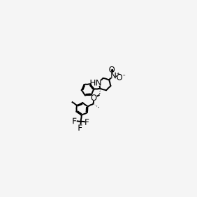 Cc1cc([C@@H](C)OC[C@@]2(c3ccccc3)CCC([N+](=O)[O-])CN2)cc(C(F)(F)F)c1